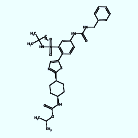 CC(C)OC(=O)N[C@H]1CC[C@@H](c2ncc(-c3ccc(NC(=O)NCc4ccccc4)cc3S(=O)(=O)NC(C)(C)C)s2)CC1